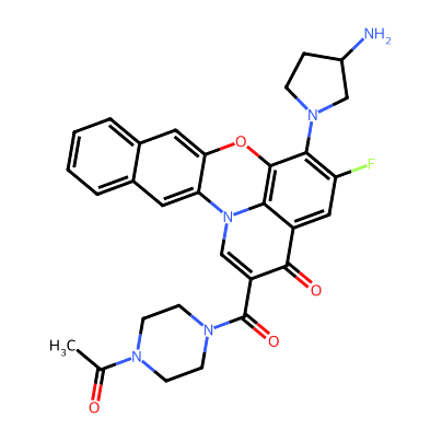 CC(=O)N1CCN(C(=O)c2cn3c4c(c(N5CCC(N)C5)c(F)cc4c2=O)Oc2cc4ccccc4cc2-3)CC1